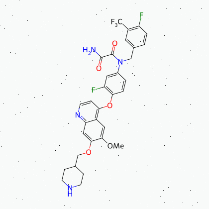 COc1cc2c(Oc3ccc(N(Cc4ccc(F)c(C(F)(F)F)c4)C(=O)C(N)=O)cc3F)ccnc2cc1OCC1CCNCC1